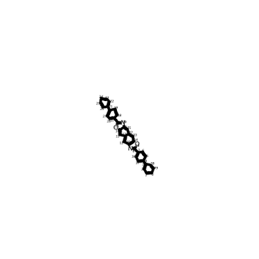 c1ccc(-c2ccc(-c3nc4cc5cc6oc(-c7ccc(-c8ccccc8)cc7)nc6cc5cc4o3)cc2)cc1